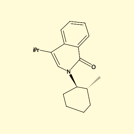 CC(C)c1cn([C@@H]2CCCC[C@H]2C)c(=O)c2ccccc12